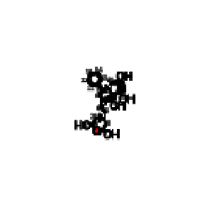 O=C(O)CN(CCN(CC(C1CCCCC1)N(CC(=O)O)CC(=O)O)C(=O)O)CC(=O)O